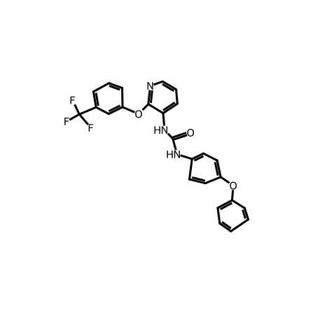 O=C(Nc1ccc(Oc2ccccc2)cc1)Nc1cccnc1Oc1cccc(C(F)(F)F)c1